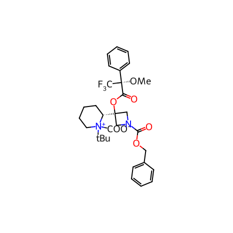 CO[C@@](C(=O)OC1([C@H]2CCCC[N+]2(C(=O)[O-])C(C)(C)C)CN(C(=O)OCc2ccccc2)C1)(c1ccccc1)C(F)(F)F